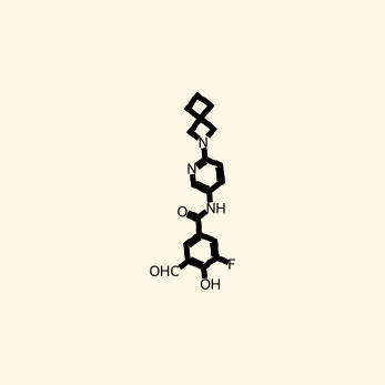 O=Cc1cc(C(=O)Nc2ccc(N3CC4(CCC4)C3)nc2)cc(F)c1O